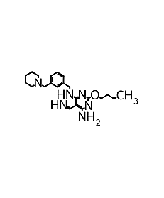 CCCCOc1nc(N)c(C=N)c(NCc2cccc(CN3CCCCC3)c2)n1